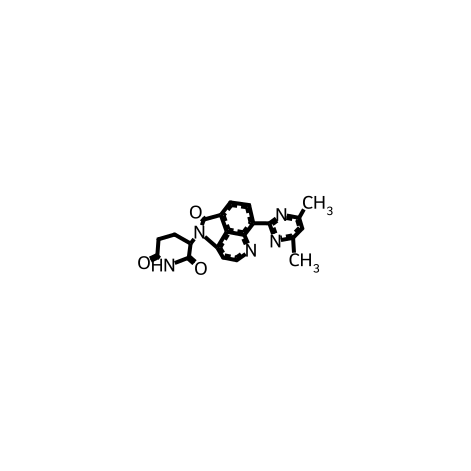 Cc1cc(C)nc(-c2ccc3c4c(ccnc24)N(C2CCC(=O)NC2=O)C3=O)n1